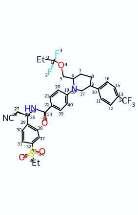 CCC(F)(F)OCC1CCC(c2ccc(C(F)(F)F)cc2)CN1c1ccc(C(=O)N[C@H](CC#N)c2ccc(S(=O)(=O)CC)cc2)cc1